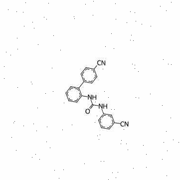 N#Cc1ccc(-c2ccccc2NC(=O)Nc2cccc(C#N)c2)cc1